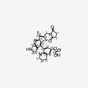 O=C1CCC(=O)N1Cc1sc2c(-c3cc(Cl)cc4c3N([C@H]3CCNC3)CCC4)ccnc2c1F.O=CO